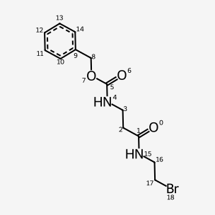 O=C(CCNC(=O)OCc1ccccc1)NCCBr